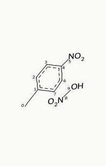 Cc1ccc([N+](=O)[O-])cc1.O=[N+]([O-])O